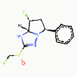 [O-][S@+](CF)C1=NN2[C@H](N1)[C@@H](F)C[C@H]2c1ccccc1